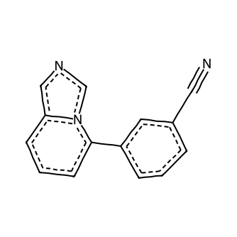 N#Cc1cccc(-c2cccc3cncn23)c1